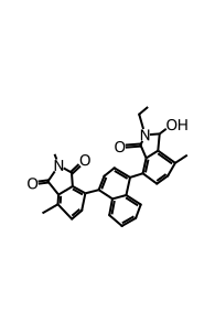 CCN1C(=O)c2c(-c3ccc(-c4ccc(C)c5c4C(=O)N(C)C5=O)c4ccccc34)ccc(C)c2C1O